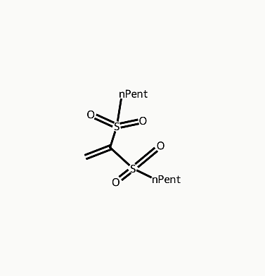 C=C(S(=O)(=O)CCCCC)S(=O)(=O)CCCCC